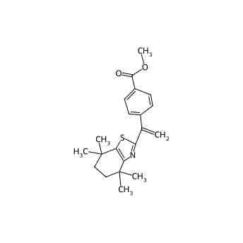 C=C(c1ccc(C(=O)OC)cc1)c1nc2c(s1)C(C)(C)CCC2(C)C